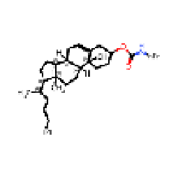 CCCNC(=O)OC1CC[C@@]2(C)C(=CC[C@H]3[C@@H]4CC[C@H]([C@H](C)CCCC(C)C)[C@@]4(C)CC[C@@H]32)C1